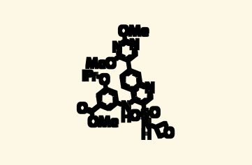 COC(=O)c1cc(Nc2c(S(=O)(=O)NC3COC3)cnc3cc(-c4cnc(OC)nc4OC)ccc23)cc(OC(C)C)c1